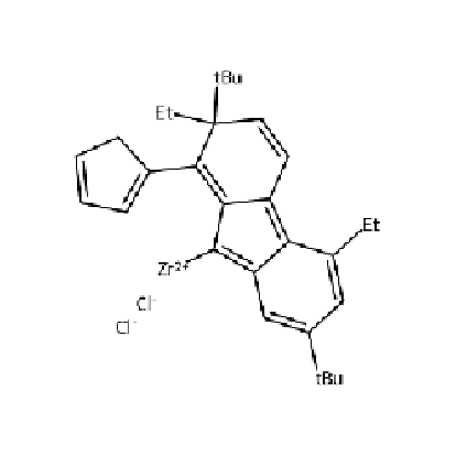 CCc1cc(C(C)(C)C)cc2c1=C1C=CC(CC)(C(C)(C)C)C(C3=CC=CC3)=C1[C]=2[Zr+2].[Cl-].[Cl-]